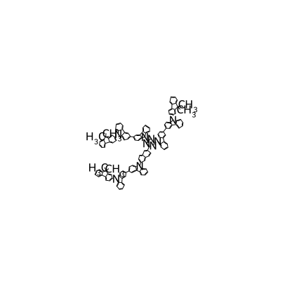 CC1(C)c2ccccc2-c2ccc(-n3c4ccccc4c4cc(-c5ccc6c(c5)c5ccccc5n6-c5ccc6cc(-c7nc(-n8c9ccccc9c9cc(-c%10ccc%11c(c%10)c%10ccccc%10n%11-c%10ccc%11c(c%10)C(C)(C)c%10ccccc%10-%11)ccc98)nc(-n8c9ccccc9c9cc(-c%10ccc%11c(c%10)c%10ccccc%10n%11-c%10ccc%11c(c%10)C(C)(C)c%10ccccc%10-%11)ccc98)n7)ccc6c5)ccc43)cc21